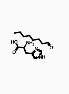 CCCCCCCC=O.NC(Cc1c[nH]cn1)C(=O)O